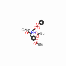 CCC(C)C(=O)Oc1ccc(C[C@H](NCCOC(=O)Oc2ccccc2)C(=O)OC)cc1OC(=O)C(C)CC